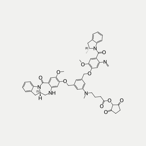 C=Nc1cc(OCc2cc(COc3cc4c(cc3OC)C(=O)N3c5ccccc5C[C@H]3CN4)cc(N(C)CCCC(=O)OC3C(=O)CCC3=O)c2)c(OC)cc1C(=O)N1c2ccccc2C[C@H]1C